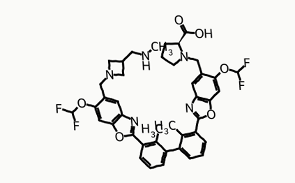 CNCC1CN(Cc2cc3nc(-c4cccc(-c5cccc(-c6nc7cc(CN8CCC[C@H]8C(=O)O)c(OC(F)F)cc7o6)c5C)c4C)oc3cc2OC(F)F)C1